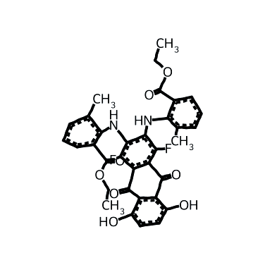 CCOC(=O)c1cccc(C)c1Nc1c(F)c2c(c(F)c1Nc1c(C)cccc1C(=O)OCC)C(=O)c1c(O)ccc(O)c1C2=O